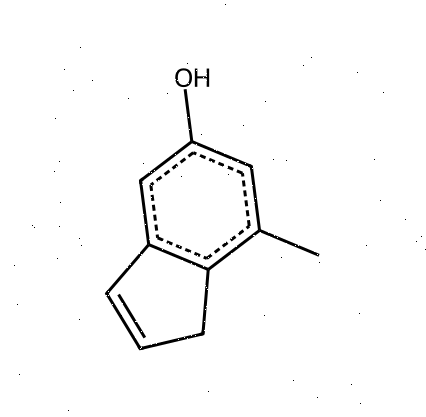 Cc1cc(O)cc2c1CC=C2